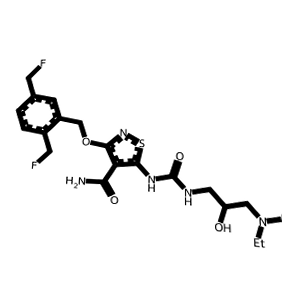 CCN(CC)CC(O)CNC(=O)Nc1snc(OCc2cc(CF)ccc2CF)c1C(N)=O